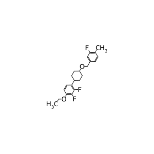 CCOc1ccc(C2CCC(OCc3ccc(C)c(F)c3)CC2)c(F)c1F